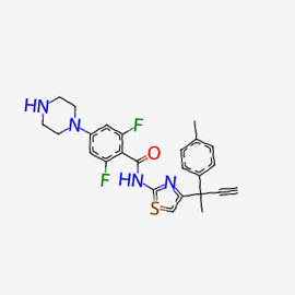 C#CC(C)(c1ccc(C)cc1)c1csc(NC(=O)c2c(F)cc(N3CCNCC3)cc2F)n1